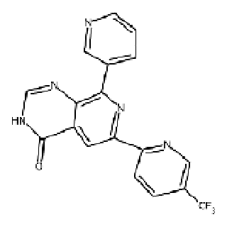 O=c1[nH]cnc2c(-c3cccnc3)nc(-c3ccc(C(F)(F)F)cn3)cc12